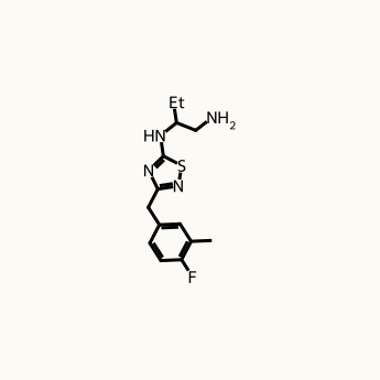 CCC(CN)Nc1nc(Cc2ccc(F)c(C)c2)ns1